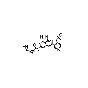 C=NC[C@@H]1C[C@H]1C(=O)Nc1cc2cc(-c3cnccc3CC(C)(C)O)nc(N)c2cn1